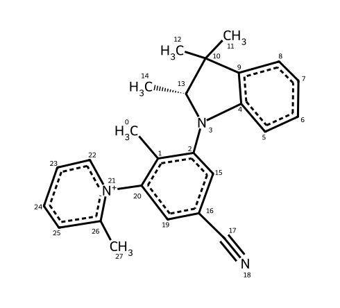 Cc1c(N2c3ccccc3C(C)(C)[C@H]2C)cc(C#N)cc1-[n+]1ccccc1C